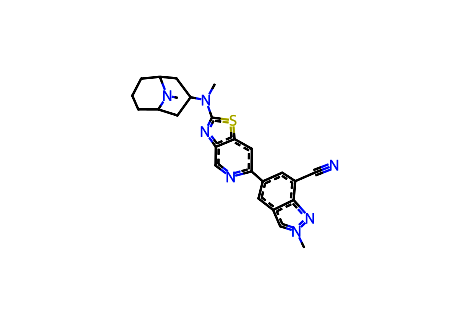 CN(c1nc2cnc(-c3cc(C#N)c4nn(C)cc4c3)cc2s1)C1CC2CCCC(C1)N2C